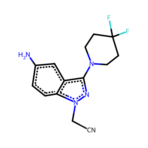 N#CCn1nc(N2CCC(F)(F)CC2)c2cc(N)ccc21